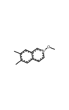 CO[n+]1ccc2cc(C)c(C)cc2c1